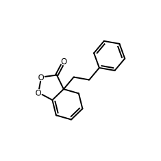 O=C1OOC2=CC=CCC12CCc1ccccc1